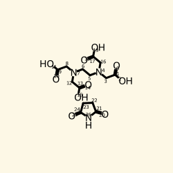 O=C(O)CN(CCN(CC(=O)O)CC(=O)O)CC(=O)O.O=C1CCC(=O)N1